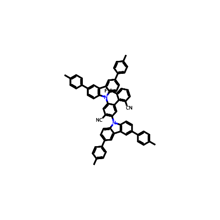 Cc1ccc(-c2ccc3c(c2)c2cc(-c4ccc(C)cc4)ccc2n3-c2cc(-c3c(C#N)cccc3C(F)(F)F)c(-n3c4ccc(-c5ccc(C)cc5)cc4c4cc(-c5ccc(C)cc5)ccc43)cc2C#N)cc1